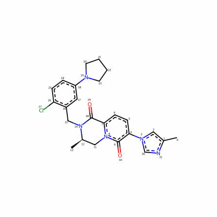 Cc1cn(-c2ccc3n(c2=O)C[C@@H](C)N(Cc2cc(N4CCCC4)ccc2Cl)C3=O)cn1